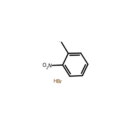 Br.[CH2]c1ccccc1[N+](=O)[O-]